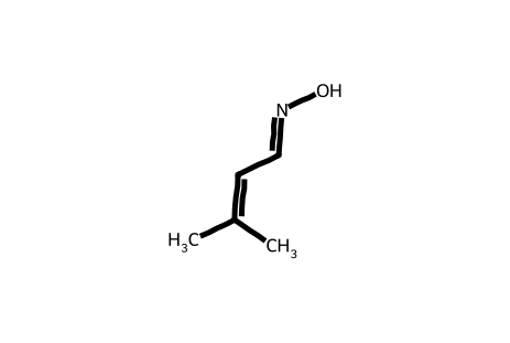 CC(C)=CC=NO